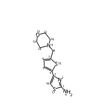 Nc1nc(-c2ccc(CN3CCOCC3)s2)cs1